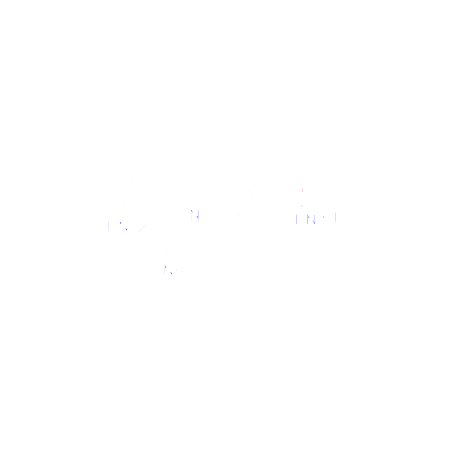 O=C(C=Cc1ccc2c(c1)CCC2N(CCc1c[nH]c2ccccc12)Cc1ccncc1)NO